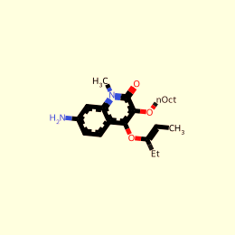 CC=C(CC)Oc1c(OCCCCCCCC)c(=O)n(C)c2cc(N)ccc12